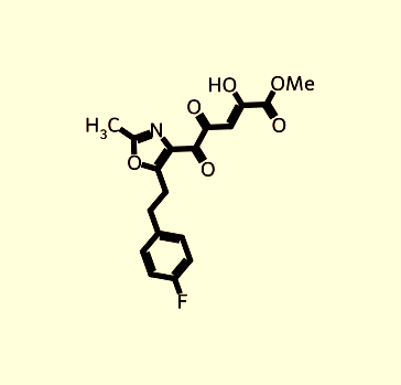 COC(=O)C(O)=CC(=O)C(=O)c1nc(C)oc1CCc1ccc(F)cc1